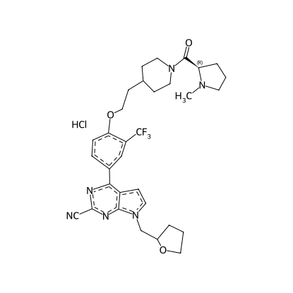 CN1CCC[C@@H]1C(=O)N1CCC(CCOc2ccc(-c3nc(C#N)nc4c3ccn4CC3CCCO3)cc2C(F)(F)F)CC1.Cl